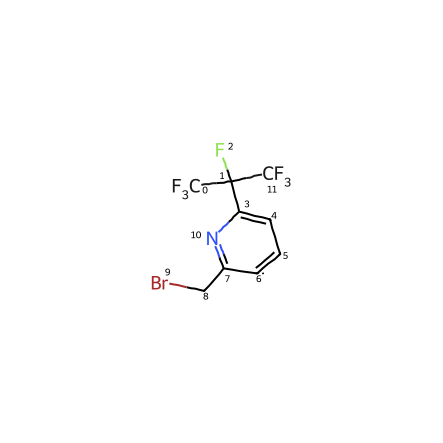 FC(F)(F)C(F)(c1cc[c]c(CBr)n1)C(F)(F)F